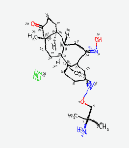 CC(C)(N)CON=C1CC[C@@]2(C)C(C1)/C(=N/O)C[C@@H]1[C@@H]2CC[C@]2(C)C(=O)CC[C@@H]12.Cl